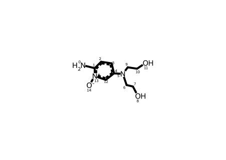 Nc1ccc(N(CCO)CCO)c[n+]1[O-]